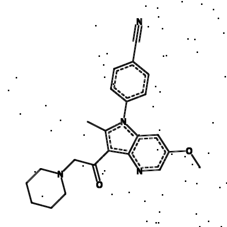 COc1cnc2c(C(=O)CN3CCCCC3)c(C)n(-c3ccc(C#N)cc3)c2c1